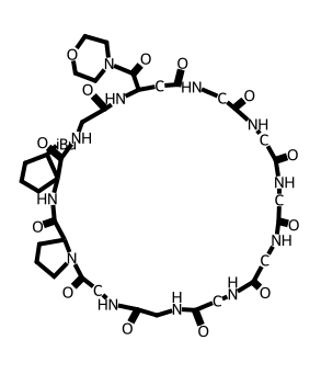 CCC(C)C1CCCC12NC(=O)C1CCCN1C(=O)CNC(=O)CNC(=O)CNC(=O)CNC(=O)CNC(=O)CNC(=O)CNC(=O)CC(C(=O)N1CCOCC1)NC(=O)CNC2=O